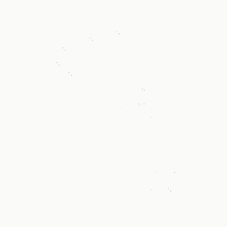 Nc1cc(Cc2cnn(Cc3cccc(C4CNC4)c3)c2)c2nn[nH]c2n1